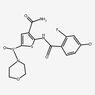 NC(=O)c1cc([S+]([O-])N2CCOCC2)sc1NC(=O)c1ccc(Cl)cc1F